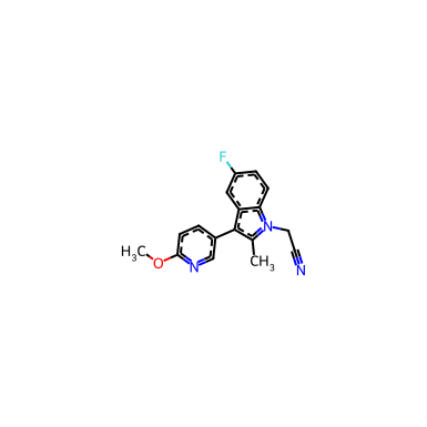 COc1ccc(-c2c(C)n(CC#N)c3ccc(F)cc23)cn1